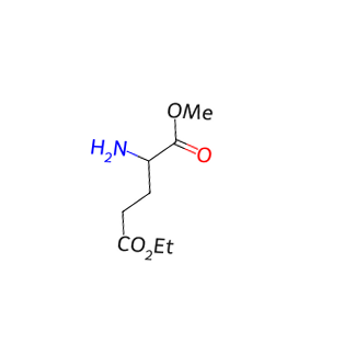 CCOC(=O)CCC(N)C(=O)OC